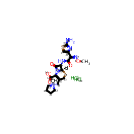 CO/N=C(\C(=O)N[C@@H]1C(=O)N2C(C(=O)[O-])=C(C[N+]3(C)CCCC3)CS[C@H]12)c1csc(N)n1.Cl.Cl